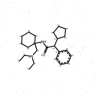 CCN(CC)CC1(NC(=O)C(c2ccccc2)C2CCCC2)CCCCC1